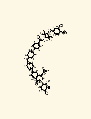 CC1(C)[C@H](NC(=O)c2ccc(N3CCC(CN4CCN(c5ccc6c(=O)n([C@@H]7CCC(=O)NC7=O)nc(C7CC7)c6c5)CC4)CC3)cc2)C(C)(C)[C@H]1Oc1ccc(C#N)c(Cl)c1